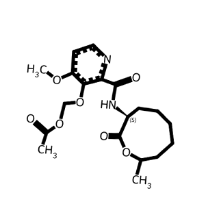 COc1ccnc(C(=O)N[C@H]2CCCCCC(C)OC2=O)c1OCOC(C)=O